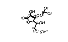 O=C([O-])[O-].O=C1O[C@H]([C@@H](O)CO)C(O)=C1O.[Ca+2]